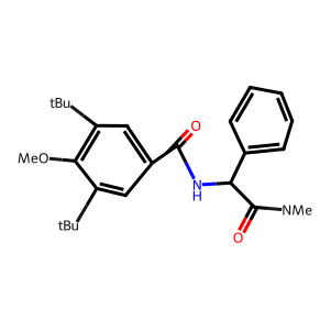 CNC(=O)C(NC(=O)c1cc(C(C)(C)C)c(OC)c(C(C)(C)C)c1)c1ccccc1